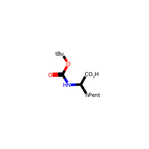 CCCCCC(NC(=O)OC(C)(C)C)C(=O)O